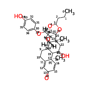 CCCC1O[C@@H]2C[C@H]3[C@@H]4CCC5=CC(=O)C=C[C@]5(C)C4[C@@H](O)C[C@]3(C)[C@]2(C(=O)COc2ccc(O)cc2)O1